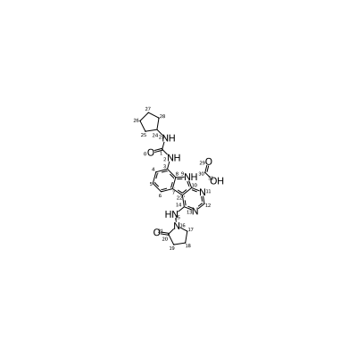 O=C(Nc1cccc2c1[nH]c1ncnc(NN3CCCC3=O)c12)NC1CCCC1.O=CO